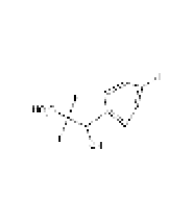 O=C(O)C(F)(F)C(O)c1ccc(I)cc1